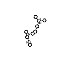 c1ccc(-c2cc(-c3ccc(-c4ccc5ccc(-n6c7ccccc7c7ccc(-c8nc9ccccc9s8)cc76)cc5c4)cc3)nc(-c3ccccc3)n2)cc1